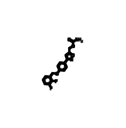 NC(=O)OCc1cc(-c2ccc(OCc3cccc(F)c3F)cc2)no1